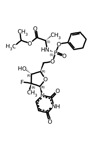 CC(C)OC(=O)[C@H](C)N[P@](=O)(OC[C@H]1O[C@@H](n2ccc(=O)[nH]c2=O)[C@](C)(F)[C@@H]1O)OC1=CCCC=C1